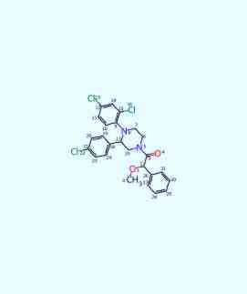 COC(C(=O)N1CCN(c2ccc(Cl)cc2Cl)C(c2ccc(Cl)cc2)C1)c1ccccc1